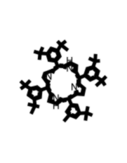 Cc1cc(-c2c3nc(c(-c4cc(C(C)(C)C)cc(C(C)(C)C)c4)c4ccc([nH]4)c(-c4cc(C(C)(C)C)cc(C(C)(C)C)c4)c4nc(c(-c5cc(C(C)(C)C)cc(C(C)(C)C)c5)c5ccc2[nH]5)C=C4)C=C3)cc(C(C)(C)C)c1